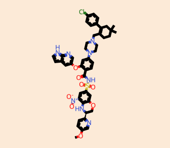 COc1ccc([C@@H]2COc3cc(S(=O)(=O)NC(=O)c4ccc(N5CCN(CC6=C(c7ccc(Cl)cc7)CC(C)(C)CC6)CC5)cc4Oc4cnc5[nH]ccc5c4)cc([N+](=O)[O-])c3N2)nc1